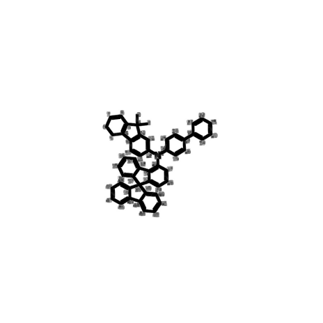 CC1(C)C2=C(CCC=C2)c2ccc(N(c3ccc(-c4ccccc4)cc3)c3cccc4c3-c3ccccc3C43c4ccccc4-c4ccccc43)cc21